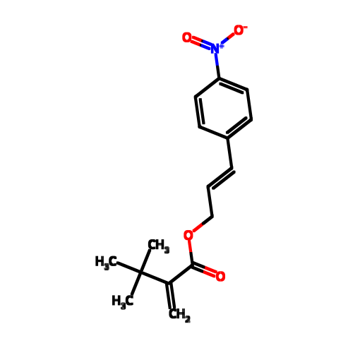 C=C(C(=O)OCC=Cc1ccc([N+](=O)[O-])cc1)C(C)(C)C